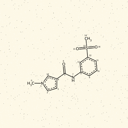 Cn1ccc(C(=O)Nc2cccc(S(C)(=O)=O)c2)c1